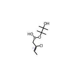 C/C=C(\Cl)CB(O)OC(C)(C)C(C)(C)O